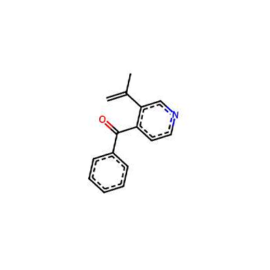 C=C(C)c1cnccc1C(=O)c1ccccc1